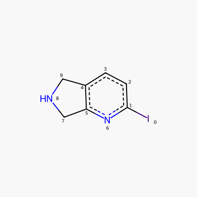 Ic1ccc2c(n1)CNC2